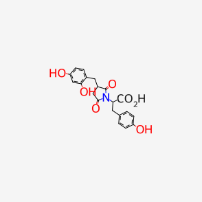 O=C(O)C(Cc1ccc(O)cc1)N1C(=O)CC(Cc2ccc(O)cc2O)C1=O